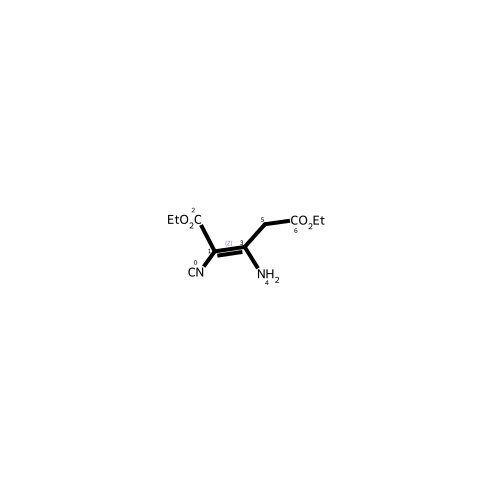 [C-]#[N+]/C(C(=O)OCC)=C(\N)CC(=O)OCC